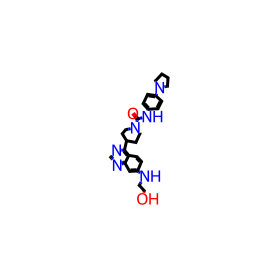 O=C(Nc1ccc(N2CCCC2)cc1)N1CCC(c2ncnc3cc(NCCO)ccc23)CC1